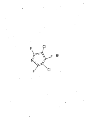 Fc1nc(F)c(Cl)c(F)c1Cl.[B]